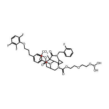 CC1(C(=O)N(Cc2ccccc2F)C2CC2)C(c2ccc(CCCOc3c(F)ccc(F)c3F)cc2)CC2CN(C(=O)OCCOCCON(O)O)CC1N2C(=O)OC(C)(C)C(Cl)(Cl)Cl